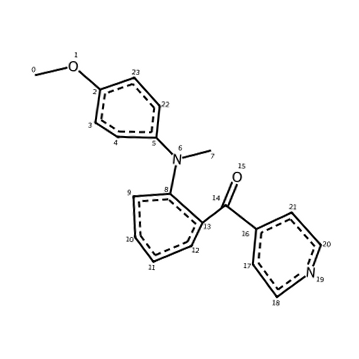 COc1ccc(N(C)c2ccccc2C(=O)c2ccncc2)cc1